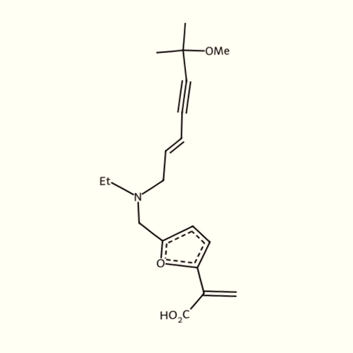 C=C(C(=O)O)c1ccc(CN(CC)CC=CC#CC(C)(C)OC)o1